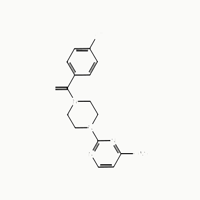 COc1ccnc(N2CCN(C(=O)c3ccc(C(F)(F)F)cc3)CC2)n1